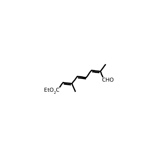 CCOC(=O)/C=C(C)/C=C/C=C(/C)C=O